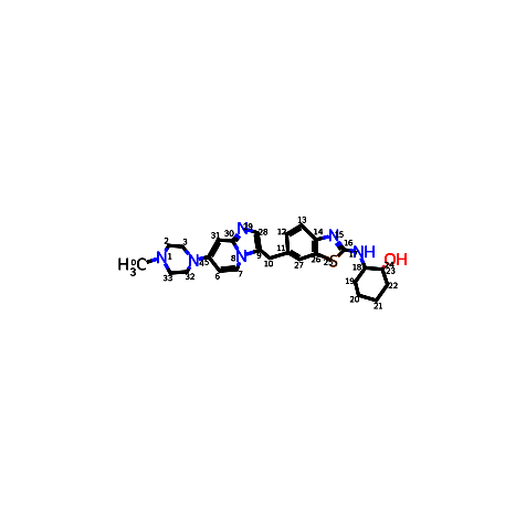 CN1CCN(c2ccn3c(Cc4ccc5nc(NC6CCCCC6O)sc5c4)cnc3c2)CC1